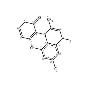 CC1C=C(C(F)(F)F)N(C2=NC=CCC2=O)c2c(Cl)cc(Cl)cc21